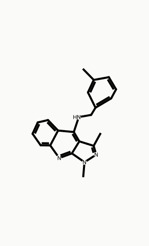 Cc1cccc(CNc2c3ccccc3nc3c2c(C)nn3C)c1